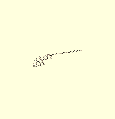 CCCCCCCCCCCCCCCCCC(=O)Nc1ccc(N2C(=O)C(=C(C)C)C(=C(c3cc(C)oc3C)C(C)C)C2=O)cc1